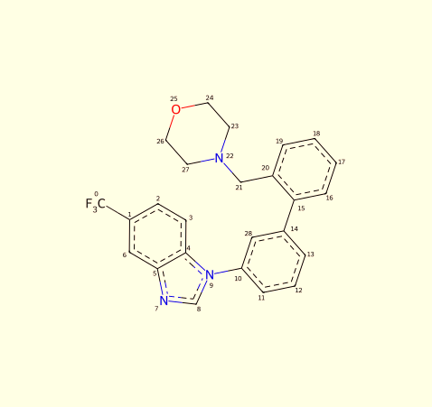 FC(F)(F)c1ccc2c(c1)ncn2-c1cccc(-c2ccccc2CN2CCOCC2)c1